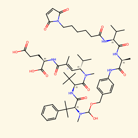 C/C(=C\[C@H](C(C)C)N(C)C(=O)[C@@H](NC(=O)[C@@H](N(C)C(O)OCc1ccc(NC(=O)[C@H](C)NC(=O)[C@@H](NC(=O)CCCCCN2C(=O)C=CC2=O)C(C)C)cc1)C(C)(C)c1ccccc1)C(C)(C)C)C(=O)N[C@H](CCC(=O)O)C(=O)O